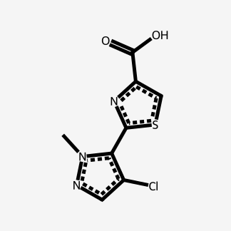 Cn1ncc(Cl)c1-c1nc(C(=O)O)cs1